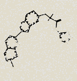 CC(C)(Cc1ccc2oc(-c3ccc4ccc(Cl)cc4n3)cc2c1)C(=O)Nc1nnn[nH]1